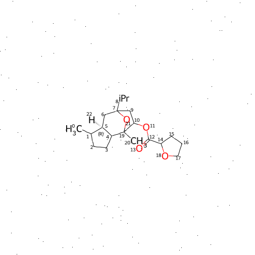 CC1CCC2[C@@H]1CC1(C(C)C)CC(OC(=O)C3CCCO3)C2(C)O1